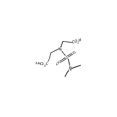 CN(C)S(=O)(=O)N(CC(=O)O)CC(=O)O